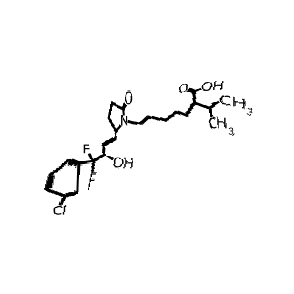 CC(C)C(CCCCCN1C(=O)CC[C@@H]1/C=C/[C@@H](O)C(F)(F)c1cccc(Cl)c1)C(=O)O